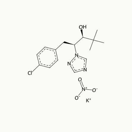 CC(C)(C)[C@H](O)[C@H](Cc1ccc(Cl)cc1)n1cncn1.O=[N+]([O-])[O-].[K+]